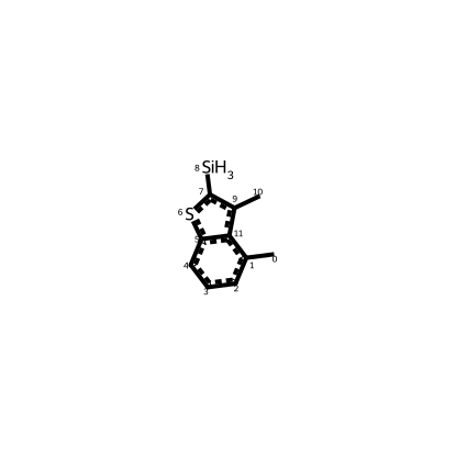 Cc1cccc2sc([SiH3])c(C)c12